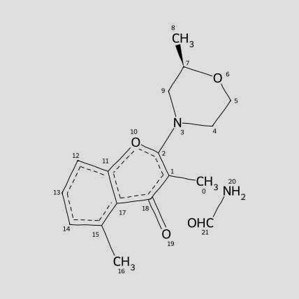 Cc1c(N2CCO[C@H](C)C2)oc2cccc(C)c2c1=O.NC=O